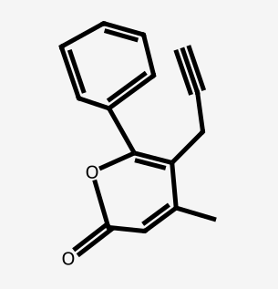 C#CCc1c(C)cc(=O)oc1-c1ccccc1